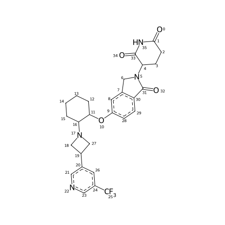 O=C1CCC(N2Cc3cc(OC4CCCCC4N4CC(c5cncc(C(F)(F)F)c5)C4)ccc3C2=O)C(=O)N1